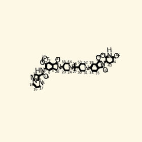 CC(C)Oc1cc2c(cc1NC(=O)c1cnn3cccnc13)CN(C1CCN(C(C)(C)C3CCN(c4ccc5c(c4)C(=O)N(C4CCC(=O)NC4=O)C5=O)CC3)CC1)C2=O